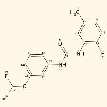 Cc1ccc(F)c(NC(=O)Nc2cccc(OC(F)F)c2)c1